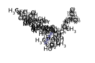 CC(COc1ccccc1)NC(C)C(O)c1ccc(O)cc1.CC1=C(/C=C/C(C)=C/C=C/C(C)=C\C(=O)O)C(C)(C)CCC1.CN(CCCl)CCCl.CNC1(C)C2CCC(C2)C1(C)C.COC(=O)C1=C(C)NC(C)=C(C(=O)OC(C)C)C1c1cccc2nonc12.Cc1cccc(CN2CCN(C(c3ccccc3)c3ccc(Cl)cc3)CC2)c1.OC1(c2ccc(Cl)cc2)c2ccccc2C2=NCCN21